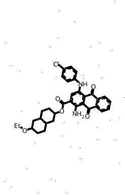 CCOC1CCC2CC(OC(=O)c3cc(Nc4ccc(Cl)cc4)c4c(c3N)C(=O)c3ccccc3C4=O)CCC2C1